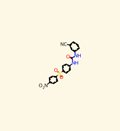 N#Cc1cccc(NC(=O)Nc2ccc(S(=O)(=O)c3ccc([N+](=O)[O-])cc3)cc2)c1